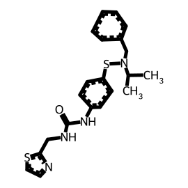 CC(C)N(Cc1ccccc1)Sc1ccc(NC(=O)NCc2nccs2)cc1